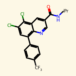 CC(C)NC(=O)c1cnc2c(-c3ccc(C(F)(F)F)cc3)cc(Cl)c(Cl)c2c1